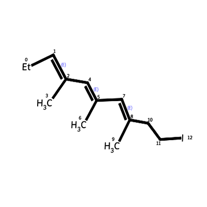 CC/C=C(C)/C=C(C)/C=C(\C)CCI